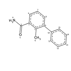 Cc1c(C(N)=O)cccc1-c1ccccc1